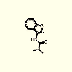 CN(C)C(=O)Nc1nsc2ccccc12